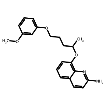 COc1cccc(OCCCC(C)Oc2cccc3ccc(N)nc23)c1